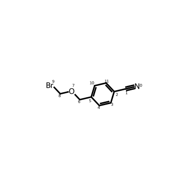 N#Cc1ccc(COCBr)cc1